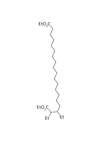 CCOC(=O)CCCCCCCCCCCCCCCC(CC)C(CC)C(=O)OCC